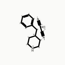 Cl.N#CC#N.c1ccc(CC2CCNCC2)cc1